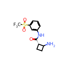 NC1CC[C@@H]1C(=O)Nc1cccc(S(=O)(=O)C(F)(F)F)c1